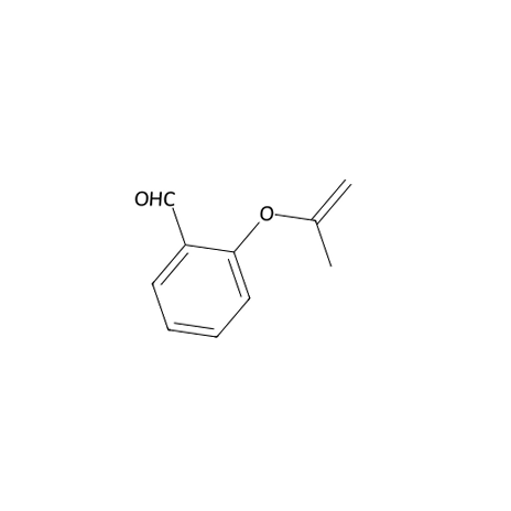 C=C(C)Oc1ccccc1C=O